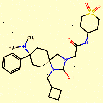 CN(C)[C@]1(c2ccccc2)CC[C@]2(CC1)CN(CC(=O)NC1CCS(=O)(=O)CC1)C(O)N2CC1CCC1